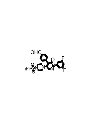 CC(C)S(=O)(=O)N1CCN(c2cnn(-c3cc(F)cc(F)c3)c(=O)c2-c2ccc(C=O)cc2)CC1